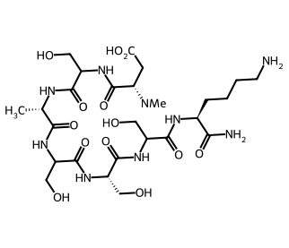 CN[C@@H](CC(=O)O)C(=O)NC(CO)C(=O)N[C@@H](C)C(=O)NC(CO)C(=O)N[C@@H](CO)C(=O)NC(CO)C(=O)N[C@@H](CCCCN)C(N)=O